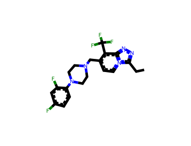 CCc1nnc2c(C(F)(F)F)c(CN3CCN(c4ccc(F)cc4F)CC3)ccn12